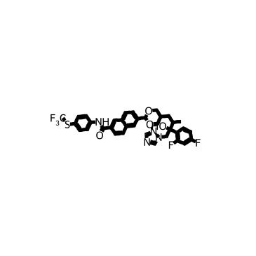 CC(CC1COC(c2ccc3cc(C(=O)Nc4ccc(SC(F)(F)F)cc4)ccc3c2)OC1)C(O)(Cn1cncn1)c1ccc(F)cc1F